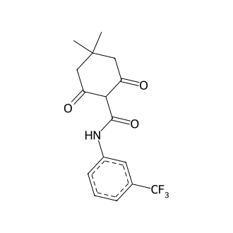 CC1(C)CC(=O)C(C(=O)Nc2cccc(C(F)(F)F)c2)C(=O)C1